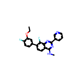 CCOc1cc(-c2ccc3c(NC)nc(-c4cccnc4)nc3c2F)ccc1F